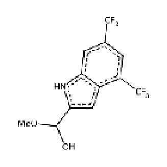 COC(O)c1cc2c(C(F)(F)F)cc(C(F)(F)F)cc2[nH]1